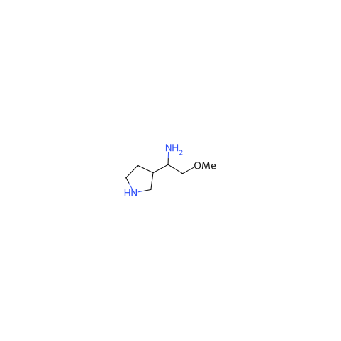 COCC(N)C1CCNC1